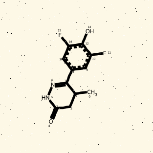 CC1CC(=O)NN=C1c1cc(F)c(O)c(F)c1